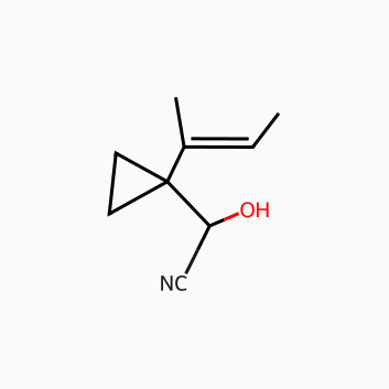 C/C=C(\C)C1(C(O)C#N)CC1